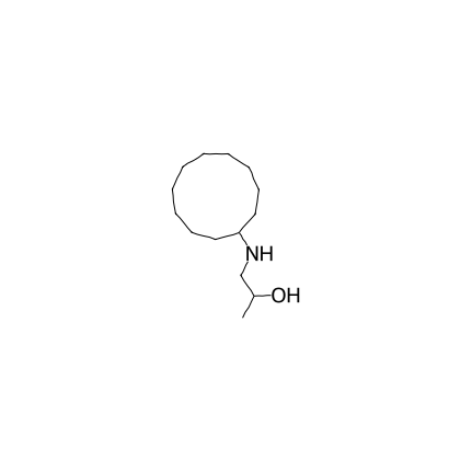 CC(O)CNC1CCCCCCCCCC1